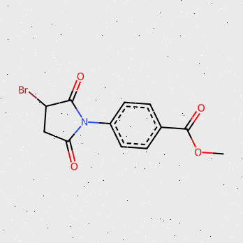 COC(=O)c1ccc(N2C(=O)CC(Br)C2=O)cc1